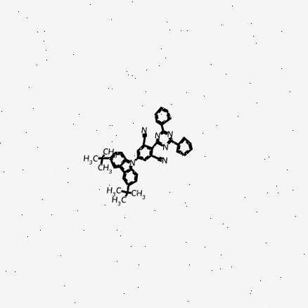 CC(C)(C)c1ccc2c(c1)c1cc(C(C)(C)C)ccc1n2-c1cc(C#N)c(-c2nc(-c3ccccc3)nc(-c3ccccc3)n2)c(C#N)c1